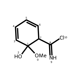 COC1(O)C=CC=CC1C(=N)Cl